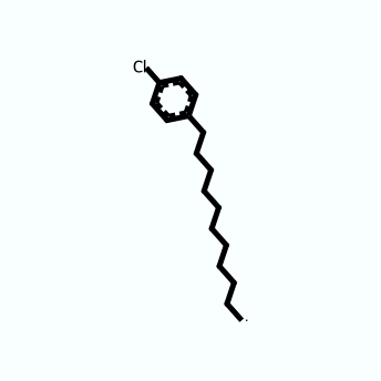 [CH2]CCCCCCCCCCc1ccc(Cl)cc1